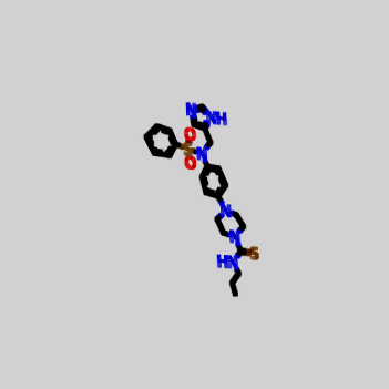 CCCNC(=S)N1CCN(c2ccc(N(Cc3cnc[nH]3)S(=O)(=O)c3ccccc3)cc2)CC1